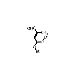 CCOC(C=C(C)C=O)OCC